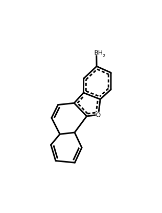 Bc1ccc2oc3c(c2c1)C=CC1C=CC=CC31